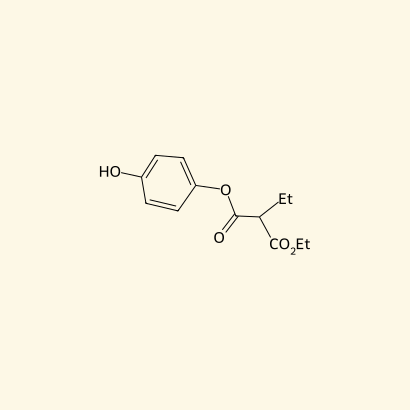 CCOC(=O)C(CC)C(=O)Oc1ccc(O)cc1